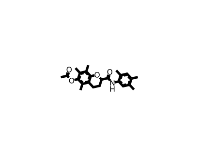 CC(=O)Oc1c(C)c(C)c2c(c1C)CCC(C(=O)Nc1cc(C)c(C)cc1C)O2